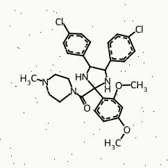 COc1ccc(C2(C(=O)N3CCN(C)CC3)NC(c3ccc(Cl)cc3)C(c3ccc(Cl)cc3)N2)c(OC)c1